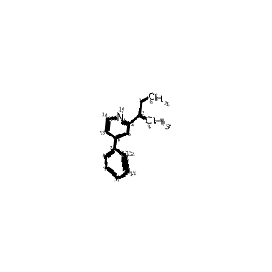 CCC(C)c1cc(-c2ccccc2)ccn1